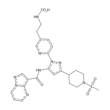 CS(=O)(=O)N1CCC(c2cc(NC(=O)c3cnn4cccnc34)n(-c3ccc(CCNC(=O)O)cn3)n2)CC1